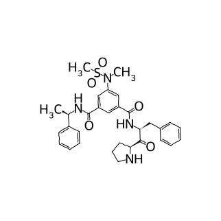 C[C@@H](NC(=O)c1cc(C(=O)N[C@@H](Cc2ccccc2)C(=O)[C@@H]2CCCN2)cc(N(C)S(C)(=O)=O)c1)c1ccccc1